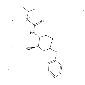 CC(C)OC(=O)N[C@@H]1CCN(Cc2ccccc2)C[C@H]1O